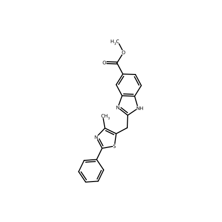 COC(=O)c1ccc2[nH]c(Cc3sc(-c4ccccc4)nc3C)nc2c1